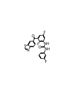 O=C(Nc1cccc(F)c1)Nc1cc(F)cc(C(=O)c2ccc3ncsc3c2)c1F